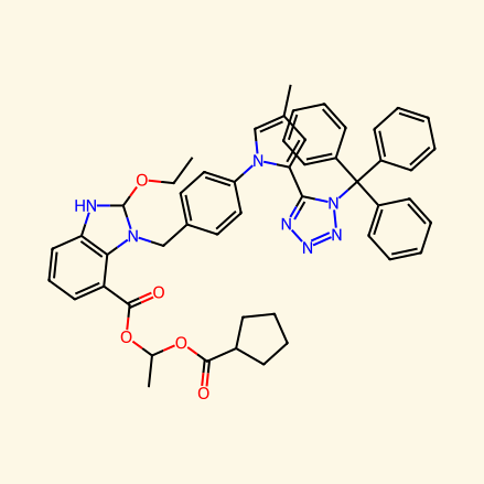 CCOC1Nc2cccc(C(=O)OC(C)OC(=O)C3CCCC3)c2N1Cc1ccc(-n2cc(C)cc2-c2nnnn2C(c2ccccc2)(c2ccccc2)c2ccccc2)cc1